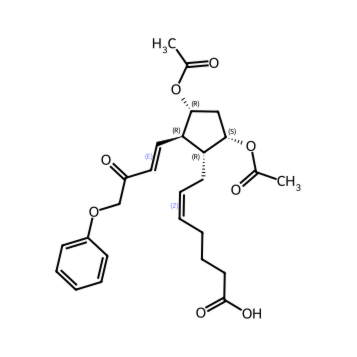 CC(=O)O[C@H]1C[C@@H](OC(C)=O)[C@H](/C=C/C(=O)COc2ccccc2)[C@H]1C/C=C\CCCC(=O)O